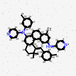 CCc1cc(Nc2ccncc2)cc2c1ccc1c(N(c3ccncc3)c3cccc(C)c3)cc3c(c12)/C(=C/c1cccc(C)c1)C(C)(C)CC3